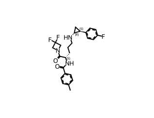 Cc1ccc(C(=O)N[C@@H](CCCN[C@@H]2C[C@H]2c2ccc(F)cc2)C(=O)N2CC(F)(F)C2)cc1